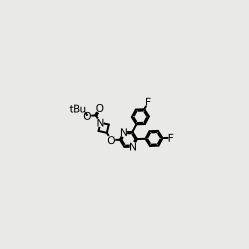 CC(C)(C)OC(=O)N1CC(Oc2cnc(-c3ccc(F)cc3)c(-c3ccc(F)cc3)n2)C1